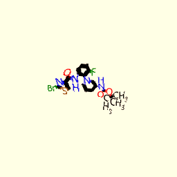 CC(C)(C)OC(=O)N[C@@H]1CCCN(c2c(F)cccc2NC(=O)c2csc(Br)n2)C1